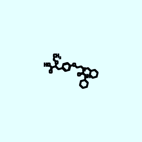 CCOC(Cc1ccc(OCCN(CC2CCCCC2)C(=O)NC2CCCCC2)cc1)C(=O)O